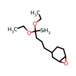 CCOC([SiH3])(CCCC1CCC2OC2C1)OCC